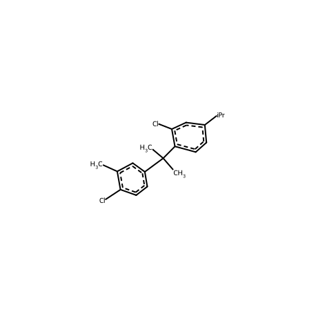 Cc1cc(C(C)(C)c2ccc(C(C)C)cc2Cl)ccc1Cl